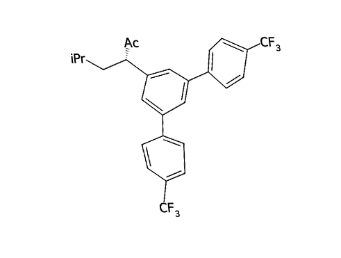 CC(=O)[C@@H](CC(C)C)c1cc(-c2ccc(C(F)(F)F)cc2)cc(-c2ccc(C(F)(F)F)cc2)c1